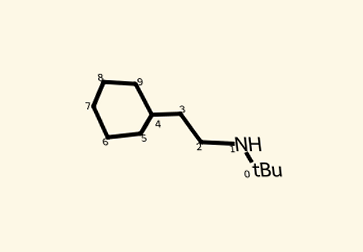 CC(C)(C)NCCC1CCCCC1